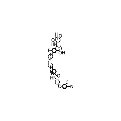 N#Cc1ccc(O[C@H]2CC[C@H](NC(=O)c3ccc(N4CCC(CN5CCN(c6cc(C(=O)O)c(C(=O)NC7CCC(=O)NC7=O)cc6F)CC5)CC4)nn3)CC2)cc1Cl